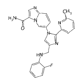 Cc1cccc(-c2nc(CNc3ccccc3F)cn2-c2ccc3ncc(C(N)=O)n3c2)n1